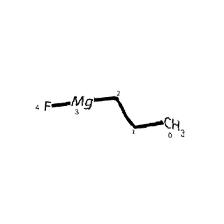 CC[CH2][Mg][F]